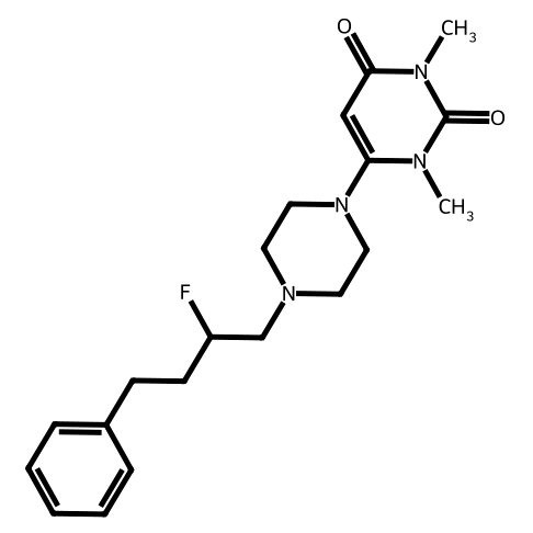 Cn1c(N2CCN(CC(F)CCc3ccccc3)CC2)cc(=O)n(C)c1=O